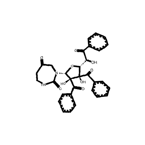 O=C1CCNC(=O)N([C@@H]2O[C@H](C(O)C(=O)c3ccccc3)[C@](O)(C(=O)c3ccccc3)[C@]2(O)C(=O)c2ccccc2)C1